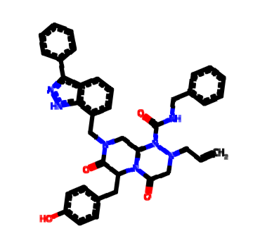 C=CCN1CC(=O)N2C(Cc3ccc(O)cc3)C(=O)N(Cc3cccc4c(-c5ccccc5)n[nH]c34)CC2N1C(=O)NCc1ccccc1